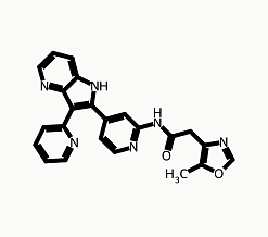 Cc1ocnc1CC(=O)Nc1cc(-c2[nH]c3cccnc3c2-c2ccccn2)ccn1